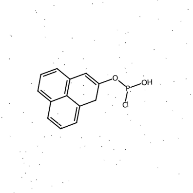 OP(Cl)OC1=Cc2cccc3cccc(c23)C1